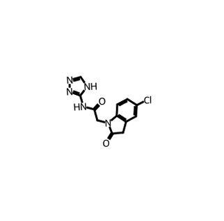 O=C(CN1C(=O)Cc2cc(Cl)ccc21)Nc1nnc[nH]1